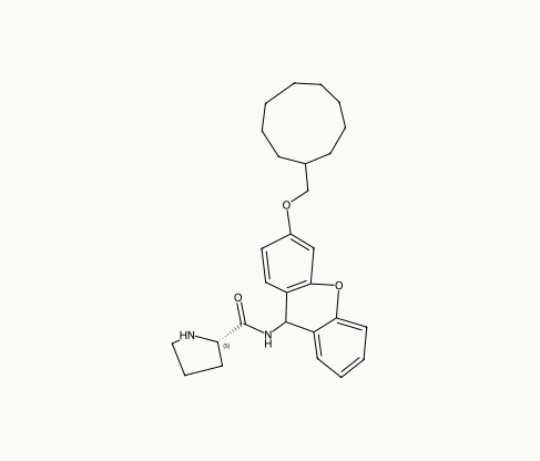 O=C(NC1c2ccccc2Oc2cc(OCC3CCCCCCCC3)ccc21)[C@@H]1CCCN1